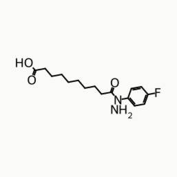 NN(C(=O)CCCCCCCCC(=O)O)c1ccc(F)cc1